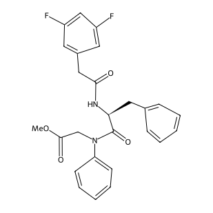 COC(=O)CN(C(=O)[C@H](Cc1ccccc1)NC(=O)Cc1cc(F)cc(F)c1)c1ccccc1